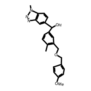 COc1ccc(COCc2cc(C(O)c3ccc4c(c3)nnn4C)ccc2C)cc1